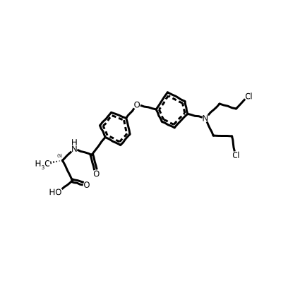 C[C@H](NC(=O)c1ccc(Oc2ccc(N(CCCl)CCCl)cc2)cc1)C(=O)O